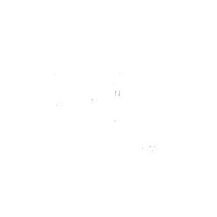 COc1ccc(Cn2c(=O)c3ccc(Cl)cc3n(CC(C)(C)O)c2=O)cc1Cl